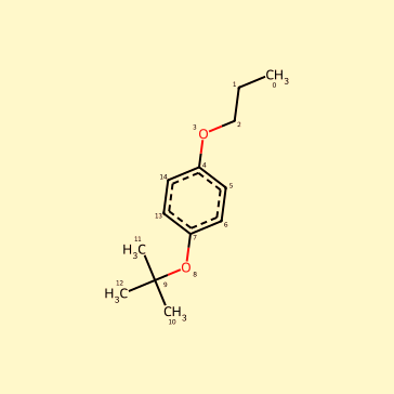 CCCOc1ccc(OC(C)(C)C)cc1